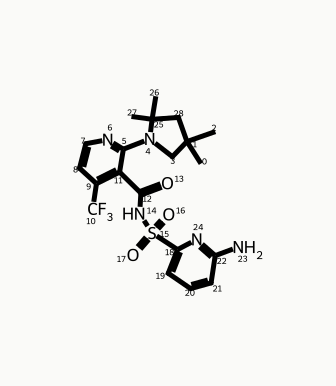 CC1(C)CN(c2nccc(C(F)(F)F)c2C(=O)NS(=O)(=O)c2cccc(N)n2)C(C)(C)C1